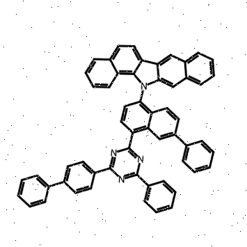 c1ccc(-c2ccc(-c3nc(-c4ccccc4)nc(-c4ccc(-n5c6cc7ccccc7cc6c6ccc7ccccc7c65)c5ccc(-c6ccccc6)cc45)n3)cc2)cc1